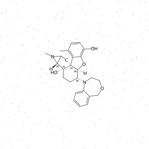 Cc1ccc(O)c2c1[C@]13CC4[C@@H](N4C)[C@]1(O)CC[C@@H](N1CCOCc4ccccc41)[C@@H]3O2